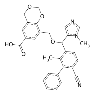 Cc1c(C(OCc2cc(C(=O)O)cc3c2OCOC3)c2cncn2C)ccc(C#N)c1-c1ccccc1